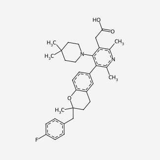 Cc1nc(C)c(-c2ccc3c(c2)CCC(C)(Cc2ccc(F)cc2)O3)c(N2CCC(C)(C)CC2)c1CC(=O)O